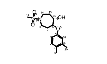 Cc1ccc(O[C@H]2CCN(S(C)(=O)=O)CC[C@@H]2O)cc1C